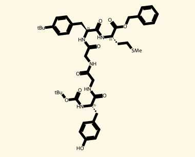 CSCC[C@H](NC(=O)[C@H](Cc1ccc(C(C)(C)C)cc1)NC(=O)CNC(=O)CNC(=O)[C@H](Cc1ccc(O)cc1)NC(=O)OC(C)(C)C)C(=O)OCc1ccccc1